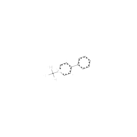 [2H]C([2H])([2H])[n+]1ccc(-c2ccccc2)cc1.[I-]